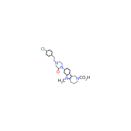 Cn1c2c(c3ccc(N4CCN(CCc5ccc(Cl)cc5)CC4=O)cc31)CN(C(=O)O)CCC2